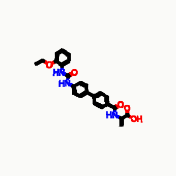 C=C(NC(=O)c1ccc(-c2ccc(NC(=O)Nc3ccccc3OCC)cc2)cc1)C(=O)O